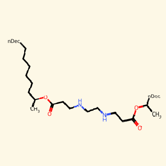 CCCCCCCCCCCCCCCCC(C)OC(=O)CCNCCNCCC(=O)OC(C)CCCCCCCCCC